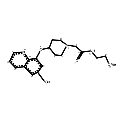 CCCCc1cc(OC2CCN(CC(=O)NCCOC)CC2)c2ncccc2c1